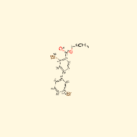 CCOC(=O)c1ccc(-c2cccc(Br)c2)cc1Br